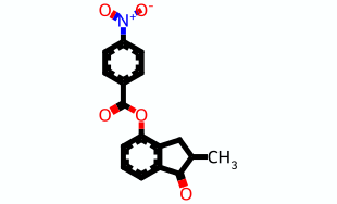 CC1Cc2c(OC(=O)c3ccc([N+](=O)[O-])cc3)cccc2C1=O